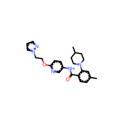 Cc1ccc(C(=O)Nc2ccc(OCCn3cccn3)nc2)c(N2CCC(C)CC2)c1